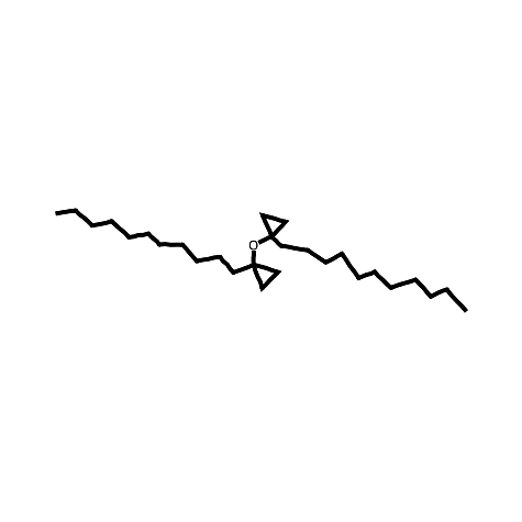 CCCCCCCCCCCC1(OC2(CCCCCCCCCCC)CC2)CC1